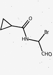 O=CC(Br)NC(=O)C1CC1